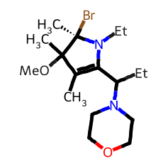 CCC(C1=C(C)C(C)(OC)[C@@](C)(Br)N1CC)N1CCOCC1